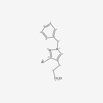 CCOC(=O)CCc1cn(Cc2ccccc2)nc1C(C)C